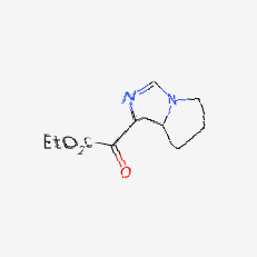 CCOC(=O)C(=O)C1N=CN2CCCC12